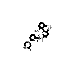 Cc1cccc(C)c1-c1nc(NS(=O)(=O)c2cccc(N3CCNC(=O)C3)n2)ccc1Cl